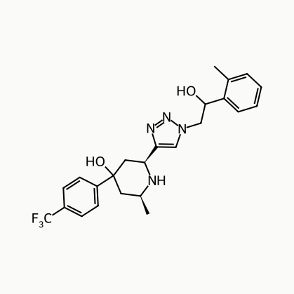 Cc1ccccc1C(O)Cn1cc([C@@H]2CC(O)(c3ccc(C(F)(F)F)cc3)C[C@H](C)N2)nn1